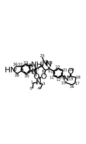 CCN(CC)C(=O)OC1C(c2ccc(N3CCCCC3=O)cc2)=NN(C)C1c1nc2cc3c(cc2[nH]1)CNC3